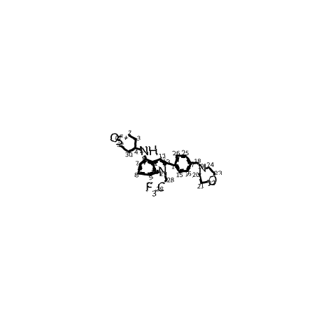 [O-][S+]1CCC(Nc2cccc3c2cc(-c2ccc(CN4CCOCC4)cc2)n3CC(F)(F)F)CC1